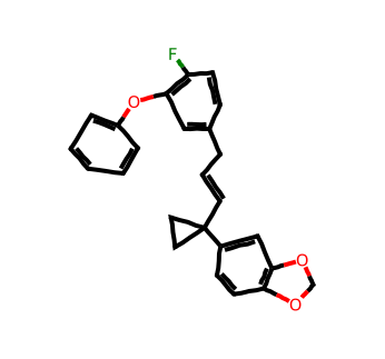 Fc1ccc(C/C=C/C2(c3ccc4c(c3)OCO4)CC2)cc1Oc1ccccc1